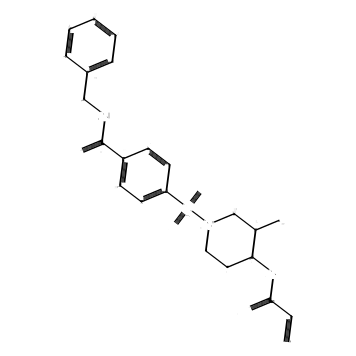 C=CC(=O)NC1CCN(S(=O)(=O)c2ccc(C(=O)NCc3ccccc3)cc2)CC1C